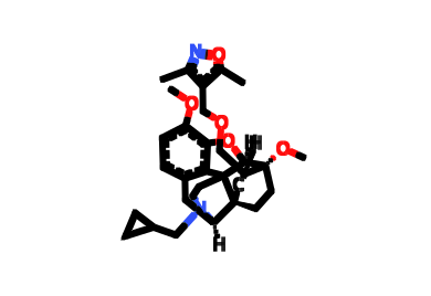 COc1ccc2c3c1O[C@@H]1C34CCN(CC3CC3)[C@H](C2)[C@]42CC[C@@]1(OC)[C@@H](COCc1c(C)noc1C)C2